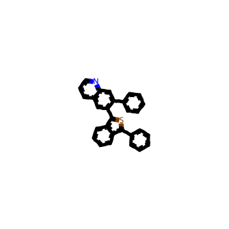 c1ccc(-c2cc3ncccc3cc2-c2sc(-c3ccccc3)c3ccccc23)cc1